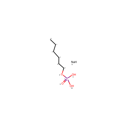 CCCCCCOP(=O)(O)O.[NaH]